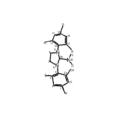 Cc1cc(C)c(N2CCN(c3c(C)cc(C)cc3C)C2N(C)C)c(C)c1